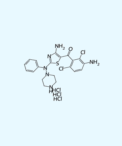 Cl.Cl.Cl.Nc1ccc(Cl)c(C(=O)c2sc(N(c3ccccc3)N3CCNCC3)nc2N)c1Cl